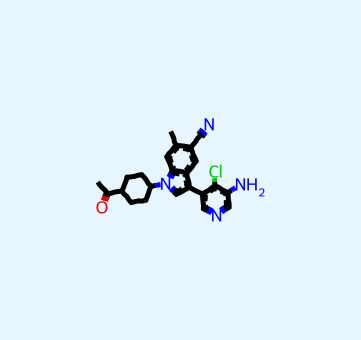 CC(=O)C1CCC(n2cc(-c3cncc(N)c3Cl)c3cc(C#N)c(C)cc32)CC1